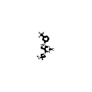 COC1(C)CN(c2nc(Cl)nc3c2cnn3-c2cccc(C(F)(F)F)c2)C1